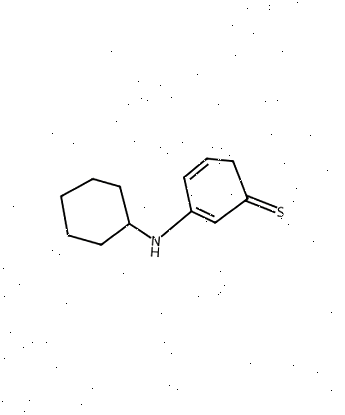 S=C1C=C(NC2CCCCC2)C=CC1